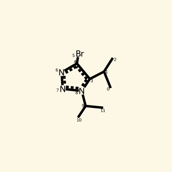 CC(C)c1c(Br)nnn1C(C)C